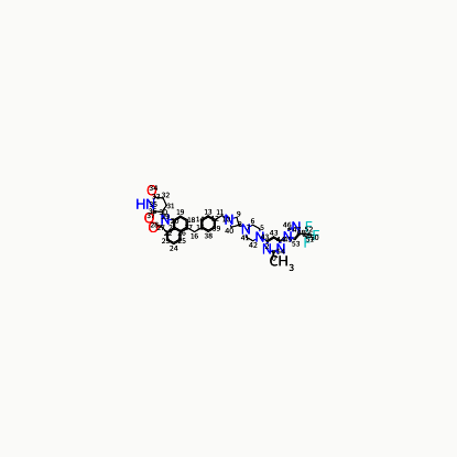 Cc1nc(N2CCN(C3CN(Cc4ccc(Cc5ccc6c7c(cccc57)C(=O)N6C5CCC(=O)NC5=O)cc4)C3)CC2)cc(-n2cnc(C(F)(F)F)c2)n1